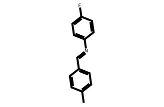 Cc1ccc(C=Nc2ccc(F)cc2)cc1